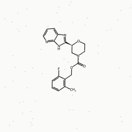 Cc1cccc(F)c1COC(=O)N1CCO[C@H](c2nc3cccnc3[nH]2)C1